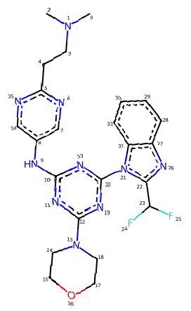 CN(C)CCc1ncc(Nc2nc(N3CCOCC3)nc(-n3c(C(F)F)nc4ccccc43)n2)cn1